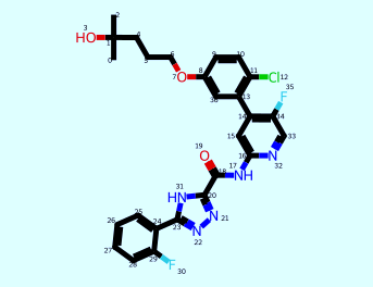 CC(C)(O)CCCOc1ccc(Cl)c(-c2cc(NC(=O)c3nnc(-c4ccccc4F)[nH]3)ncc2F)c1